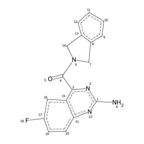 Nc1nc(C(=O)N2Cc3ccccc3C2)c2cc(F)ccc2n1